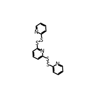 c1ccc(SSc2cccc(SSc3ccccn3)n2)nc1